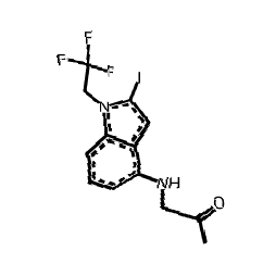 CC(=O)CNc1cccc2c1cc(I)n2CC(F)(F)F